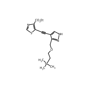 CCOC(=O)c1ncsc1C#Cc1c[nH]nc1COCC[Si](C)(C)C